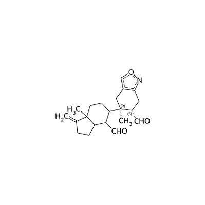 C=C1CCC2C(C=O)C([C@@]3(C)Cc4conc4C[C@@H]3C=O)CCC12C